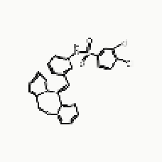 O=S(=O)(Nc1cccc(/C=C2\c3ccccc3CSc3ccccc32)c1)c1ccc(Cl)c(Cl)c1